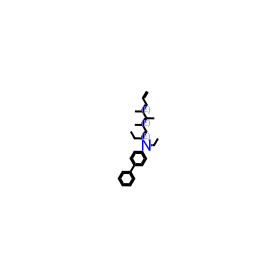 C=C/C=C(C)/C(C)=C(C)/C=C(\CC)N(CC)c1ccc(-c2ccccc2)cc1